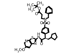 COc1cnc2sc(NC(=O)[C@H](CC3CCCC3)c3ccc(S(=O)(=O)N(CCC(=O)OC(C)(C)C)Cc4ccccc4)cc3)nc2c1